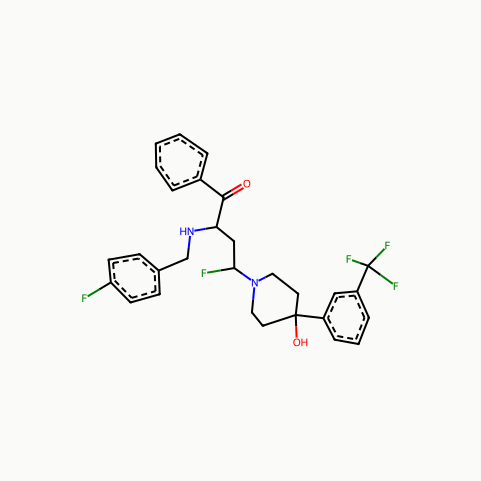 O=C(c1ccccc1)C(CC(F)N1CCC(O)(c2cccc(C(F)(F)F)c2)CC1)NCc1ccc(F)cc1